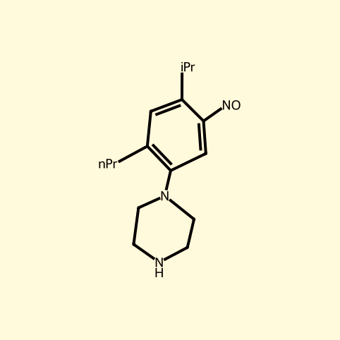 CCCc1cc(C(C)C)c(N=O)cc1N1CCNCC1